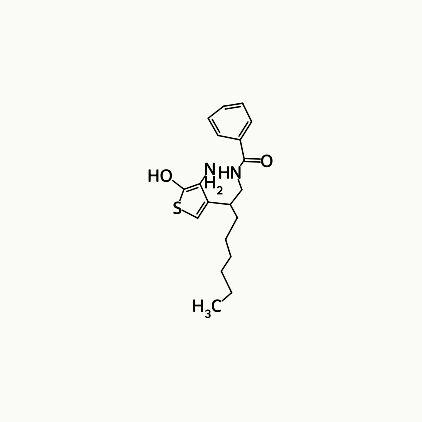 CCCCCCC(CNC(=O)c1ccccc1)c1csc(O)c1N